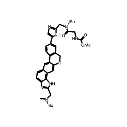 CC[C@H](C)N(C)Cc1nc2ccc3cc4c(cc3c2[nH]1)OCc1cc(-c2cnc(CN(C(=O)CNC(=O)OC)[C@@H](C)CC)[nH]2)ccc1-4